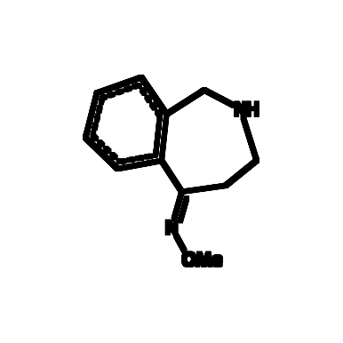 CON=C1CCNCc2ccccc21